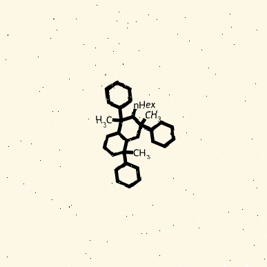 CCCCCCC1C(C)(C2CCCCC2)CC2C(CCCC2(C)C2CCCCC2)C1(C)C1CCCCC1